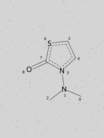 CN(C)n1ccsc1=O